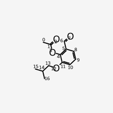 CC(=O)Oc1c(C=O)cccc1OCC(C)C